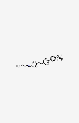 CCC/C=C/C1COC(CCC2COC(c3ccc(OC(F)(F)F)cc3)OC2)OC1